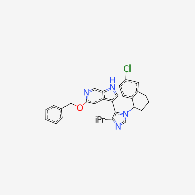 CC(C)c1ncn(C2CCCc3cc(Cl)ccc32)c1-c1c[nH]c2cnc(OCc3ccccc3)cc12